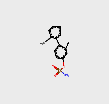 Cc1cc(OS(N)(=O)=O)ccc1-c1ccccc1[N+](=O)[O-]